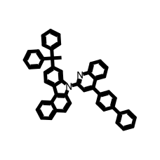 CC(c1ccccc1)(c1ccccc1)c1ccc2c3c4ccccc4ccc3n(-c3cc(-c4ccc(-c5ccccc5)cc4)c4ccccc4n3)c2c1